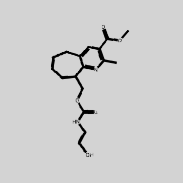 COC(=O)c1cc2c(nc1C)C(COC(=O)NCCO)CCCC2